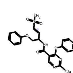 CC(C)(C)c1ncc(C(=O)NC(/C=C/S(C)(=O)=O)COc2ccccc2)c(Oc2ccccc2)n1